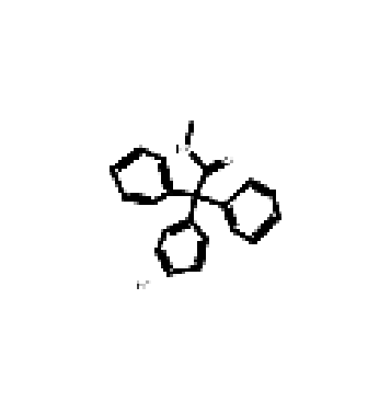 CPC(=O)C(c1ccccc1)(c1ccccc1)c1ccccc1.Cl